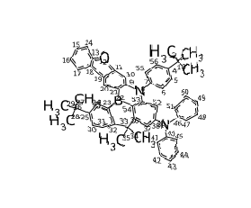 CC(C)(C)c1ccc(N2c3cc4oc5ccccc5c4cc3B3c4cc(C(C)(C)C)ccc4C(C)(C)c4cc(N(c5ccccc5)c5ccccc5)cc2c43)cc1